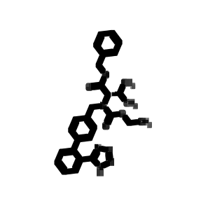 CCOC(=O)N(Cc1ccc(-c2ccccc2-c2nnn[nH]2)cc1)[C@H](C(=O)OCc1ccccc1)C(C)C